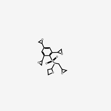 O=S(=O)(c1c(C2CO2)cc(C2CO2)cc1C1CO1)N(CC1CO1)C1CCO1